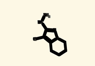 NNc1nn2c(c1Cl)CCCC2